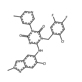 Cc1cncc(-n2c(=O)nc(Nc3cc4cn(C)nc4cc3Cl)n(Cc3cc(F)c(F)cc3Cl)c2=O)c1